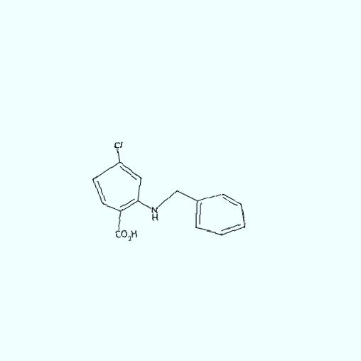 O=C(O)c1ccc(Cl)cc1NCc1ccccc1